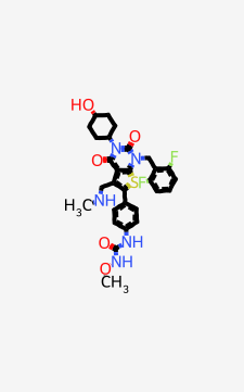 CNCc1c(-c2ccc(NC(=O)NOC)cc2)sc2c1c(=O)n(C1CCC(O)CC1)c(=O)n2Cc1c(F)cccc1F